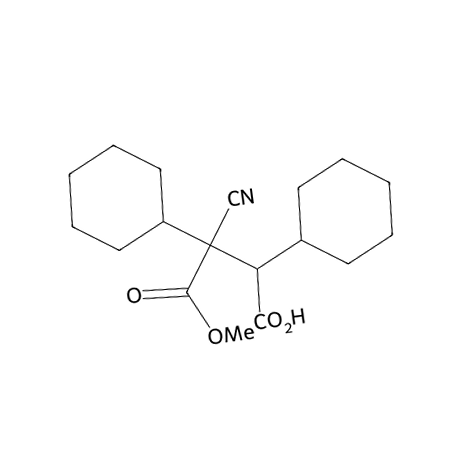 COC(=O)C(C#N)(C1CCCCC1)C(C(=O)O)C1CCCCC1